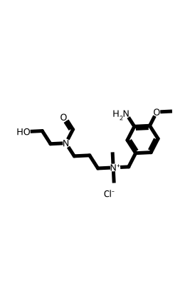 COc1ccc(C[N+](C)(C)CCCN(C=O)CCO)cc1N.[Cl-]